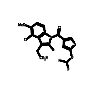 COc1ccc2c(c1Cl)c(CC(=O)O)c(C)n2C(=O)c1csc(OC(F)F)c1